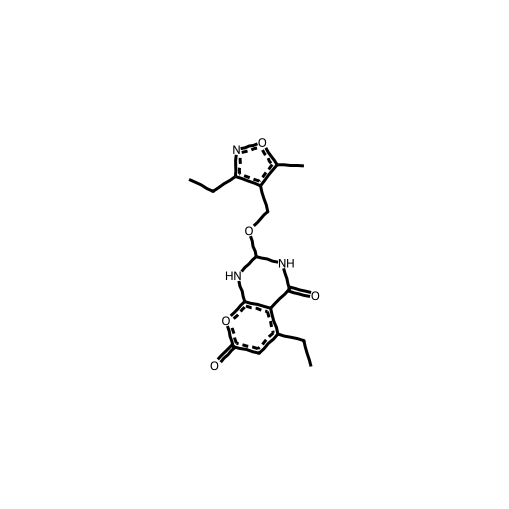 CCc1cc(=O)oc2c1C(=O)NC(OCc1c(CC)noc1C)N2